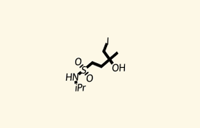 CC(C)NS(=O)(=O)CCC(C)(O)CI